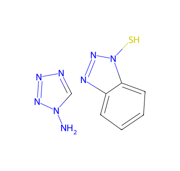 Nn1cnnn1.Sn1nnc2ccccc21